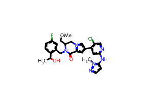 COCC1Cn2cc(-c3cc(Nc4ccnn4C)ncc3Cl)cc2C(=O)N1Cc1cc(F)ccc1C(C)O